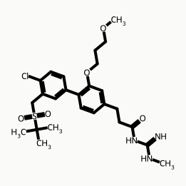 CNC(=N)NC(=O)CCc1ccc(-c2ccc(Cl)c(CS(=O)(=O)C(C)(C)C)c2)c(OCCCOC)c1